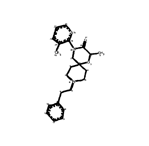 CC1OC2(CCN(CCc3ccccc3)CC2)CN(c2ncccc2C(F)(F)F)C1=O